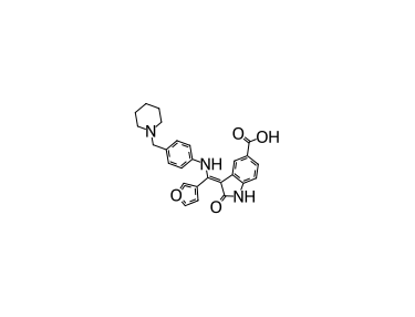 O=C1Nc2ccc(C(=O)O)cc2C1=C(Nc1ccc(CN2CCCCC2)cc1)c1ccoc1